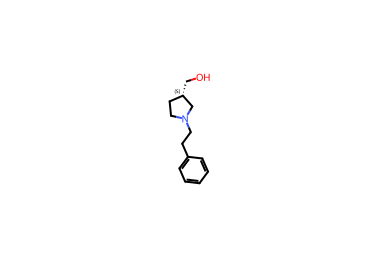 OC[C@H]1CCN(CCc2ccccc2)C1